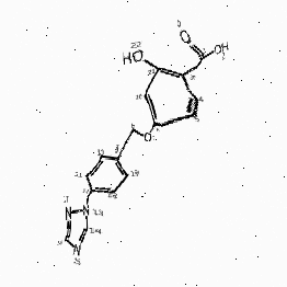 O=C(O)c1ccc(OCc2ccc(-n3cncn3)cc2)cc1O